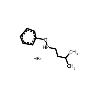 Br.CC(C)CCPOc1ccccc1